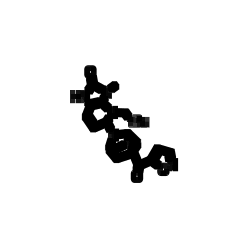 Cn1c2c([nH]c1=O)C=CC(N1CC3CCC1CN3C(=O)c1ccno1)N2CC(C)(C)C